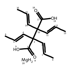 CC=CC(C=CC)(C(=O)O)C(C=CC)(C=CC)C(=O)O.[MgH2]